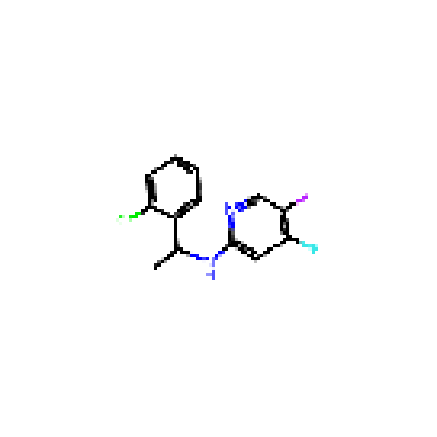 CC(Nc1cc(F)c(I)cn1)c1ccccc1Cl